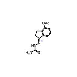 CC(=O)Oc1cccc2c1CC/C2=N\NC(N)=S